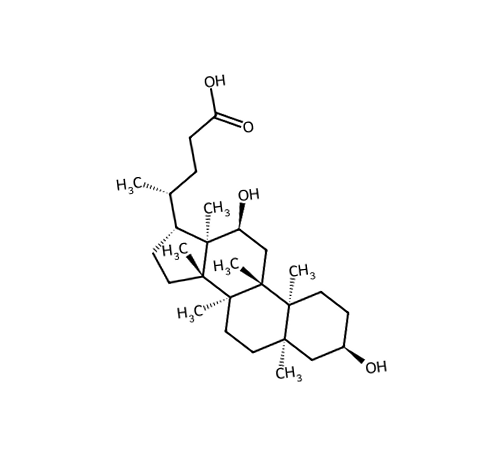 C[C@H](CCC(=O)O)[C@H]1CC[C@]2(C)[C@]1(C)[C@@H](O)C[C@@]1(C)[C@@]2(C)CC[C@]2(C)C[C@H](O)CC[C@@]21C